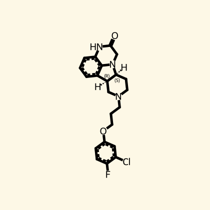 O=C1CN2c3c(cccc3[C@@H]3CN(CCCOc4ccc(F)c(Cl)c4)CC[C@@H]32)N1